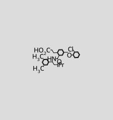 Cc1cc(C)cc(C(CC(C)C)NC(=O)c2cc(COc3ccccc3Cl)ccc2CCC(=O)O)c1